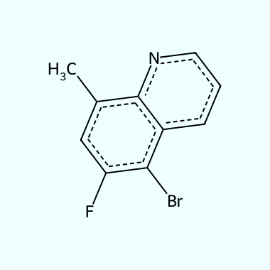 Cc1cc(F)c(Br)c2cccnc12